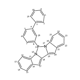 c1ccc(-c2cccc(-p3n4c5ccccc5cc4c4cc5ccccc5n43)c2)cc1